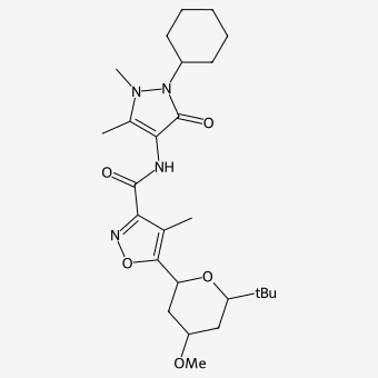 COC1CC(c2onc(C(=O)Nc3c(C)n(C)n(C4CCCCC4)c3=O)c2C)OC(C(C)(C)C)C1